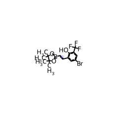 CC1(C)OB(/C=C/c2cc(Br)cc(C(F)(F)F)c2O)OC1(C)C